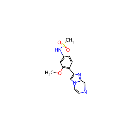 COc1cc(NS(C)(=O)=O)ccc1-c1cn2ccncc2n1